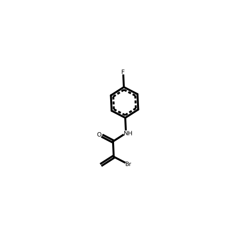 C=C(Br)C(=O)Nc1ccc(F)cc1